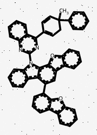 CC1(c2ccccc2)C=CC(c2nc(-n3c4ccccc4c4c(-c5cccc6c5oc5ccccc56)cc5c6ccccc6oc5c43)nc3ccccc23)=CC1